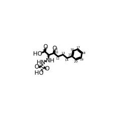 O=C(O)C(NNS(=O)(=O)O)C(=O)CCCc1ccccc1